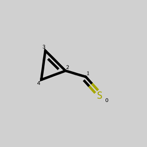 S=CC1=CC1